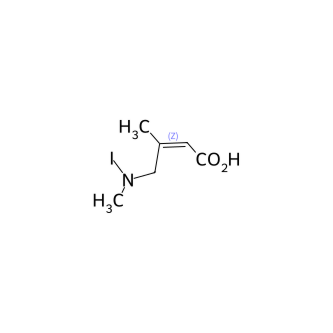 C/C(=C/C(=O)O)CN(C)I